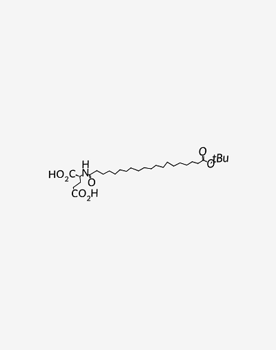 CC(C)(C)OC(=O)CCCCCCCCCCCCCCCCCCC(=O)N[C@@H](CCC(=O)O)C(=O)O